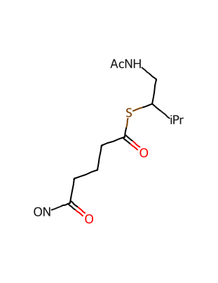 CC(=O)NCC(SC(=O)CCCC(=O)N=O)C(C)C